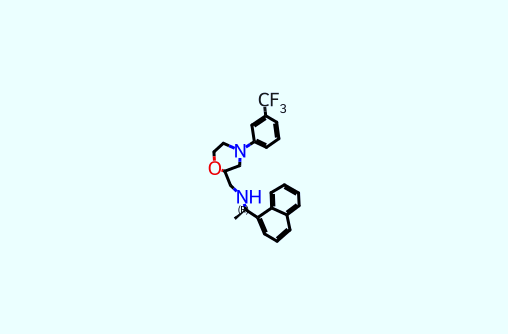 C[C@@H](NCC1CN(c2cccc(C(F)(F)F)c2)CCO1)c1cccc2ccccc12